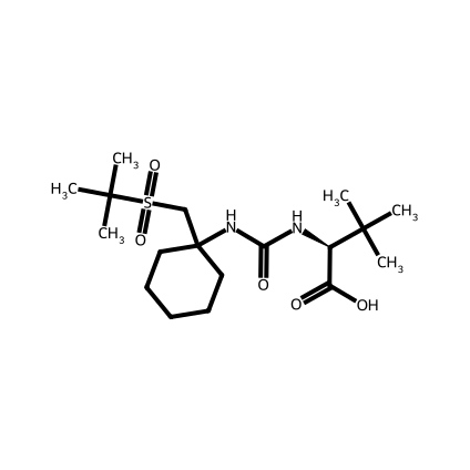 CC(C)(C)[C@H](NC(=O)NC1(CS(=O)(=O)C(C)(C)C)CCCCC1)C(=O)O